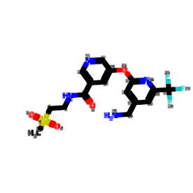 CS(=O)(=O)CCNC(=O)c1cncc(Oc2cc(CN)cc(C(F)(F)F)n2)c1